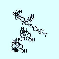 CC(C)N1CCN(c2ccc(OC[C@H]3CO[C@](Cn4cncn4)(c4ccc(Cl)cc4Cl)O3)cc2)CC1.CN1CC[C@]23c4c5ccc(O)c4O[C@H]2[C@@H](O)C=C[C@H]3[C@H]1C5.CN1CC[C@]23c4c5ccc(O)c4O[C@H]2[C@@H](O)C=C[C@H]3[C@H]1C5.O=S(=O)(O)O